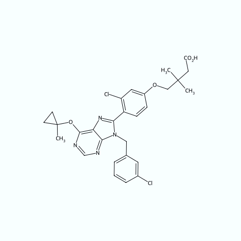 CC(C)(COc1ccc(-c2nc3c(OC4(C)CC4)ncnc3n2Cc2cccc(Cl)c2)c(Cl)c1)CC(=O)O